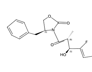 CC=C(F)[C@@H](O)[C@@H](C)C(=O)N1C(=O)OC[C@@H]1Cc1ccccc1